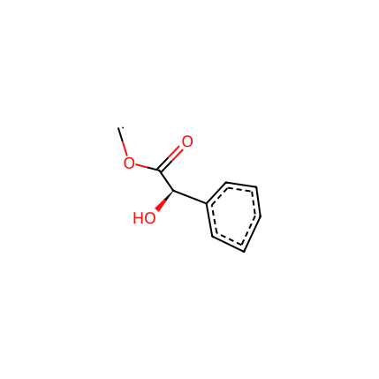 [CH2]OC(=O)[C@H](O)c1ccccc1